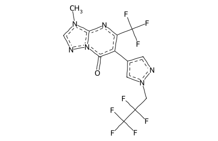 Cn1cnn2c(=O)c(-c3cnn(CC(F)(F)C(F)(F)F)c3)c(C(F)(F)F)nc12